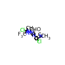 Cc1c(Cl)c(C(F)(F)F)nn1C(C=O)N1CCN(c2ccc(Cl)c(CN(C)C)c2)CC1